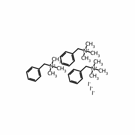 C[N+](C)(C)Cc1ccccc1.C[N+](C)(C)Cc1ccccc1.C[N+](C)(C)Cc1ccccc1.[I-].[I-].[I-]